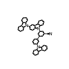 N#Cc1cc(-c2cccc(-n3c4ccccc4c4ccccc43)c2)cc(-n2c3ccccc3c3cc(-n4c5ccccc5c5ccccc54)ccc32)c1